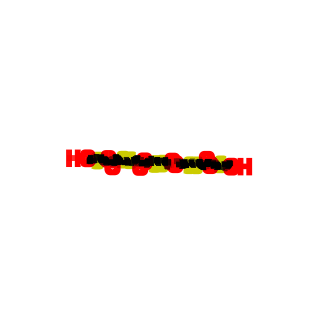 O=C(CCSCSCCCOOCCSCSCCOC(=O)CCSCSCCC(=O)OCCSCCO)OCCSCCO